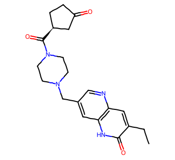 CCc1cc2ncc(CN3CCN(C(=O)[C@H]4CCC(=O)C4)CC3)cc2[nH]c1=O